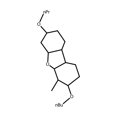 CCCCOC1CCC2C3CCC(OCCC)CC3OC2C1C